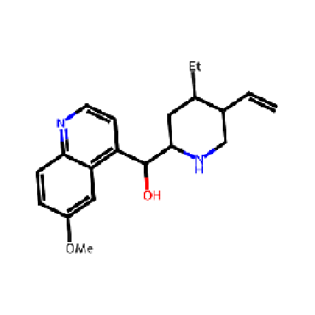 C=CC1CNC(C(O)c2ccnc3ccc(OC)cc23)CC1CC